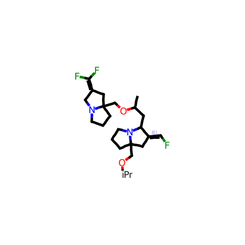 CC(C)OCC12CCCN1C(CC(C)OCC13CCCN1CC(=C(F)F)C3)/C(=C/F)C2